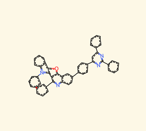 c1ccc(-c2cc(-c3ccc(-c4ccc5nc(-c6ccccc6)c6c(oc7c8ccccc8n(-c8ccccc8)c76)c5c4)cc3)nc(-c3ccccc3)n2)cc1